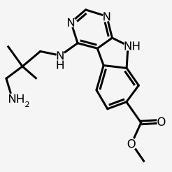 COC(=O)c1ccc2c(c1)[nH]c1ncnc(NCC(C)(C)CN)c12